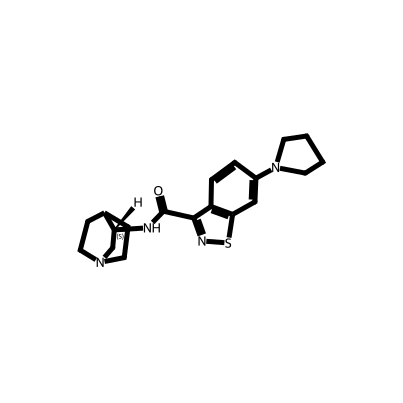 O=C(N[C@@H]1CN2CCC1CC2)c1nsc2cc(N3CCCC3)ccc12